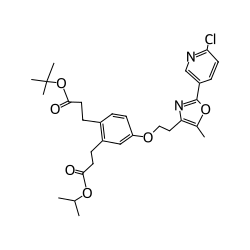 Cc1oc(-c2ccc(Cl)nc2)nc1CCOc1ccc(CCC(=O)OC(C)(C)C)c(CCC(=O)OC(C)C)c1